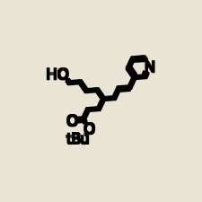 CC(C)(C)OC(=O)CCC(CC=Cc1cccnc1)CCCCO